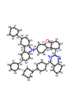 c1ccc(-c2ccc(-c3nc(-c4cccc5oc6cc(-n7c8ccc(-c9ccccc9)cc8c8cc(-c9ccccc9)ccc87)ccc6c45)nc4ccccc34)cc2)cc1